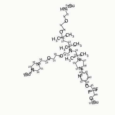 CC(C)(C)NCCOCCOC(C)(C)CCC(C)(C)N(CCOCCOCCN1CCN(C(C)(C)C)CC1)CC(C)(C)N1CCN(c2ccc(OCC(F)(F)COC(C)(C)C)cn2)CC1